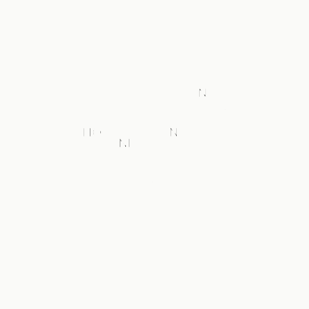 ONCc1ccccc1.c1cncnc1